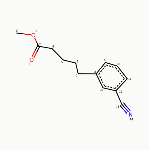 COC(=O)CCCCc1cccc(C#N)c1